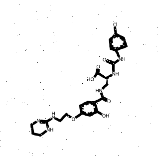 O=C(Nc1ccc(Cl)cc1)N[C@@H](CNC(=O)c1ccc(OCCNC2=NCCCN2)cc1O)C(=O)O